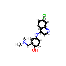 CN(C)Cc1cc(Nc2ccnc3cc(Cl)ccc23)ccc1O